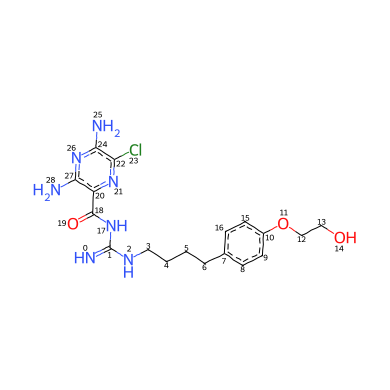 N=C(NCCCCc1ccc(OCCO)cc1)NC(=O)c1nc(Cl)c(N)nc1N